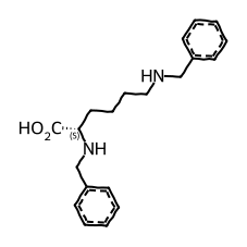 O=C(O)[C@H](CCCCNCc1ccccc1)NCc1ccccc1